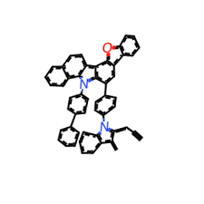 C#C/C=c1\c(=C)c2ccccc2n1-c1ccc(-c2cc3c4ccccc4oc3c3c4ccc5ccccc5c4n(-c4ccc(-c5ccccc5)cc4)c23)cc1